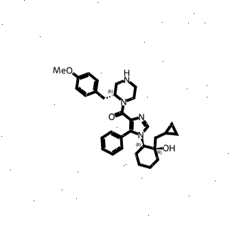 COc1ccc(C[C@@H]2CNCCN2C(=O)c2ncn([C@@H]3CCCC[C@@]3(O)CC3CC3)c2-c2ccccc2)cc1